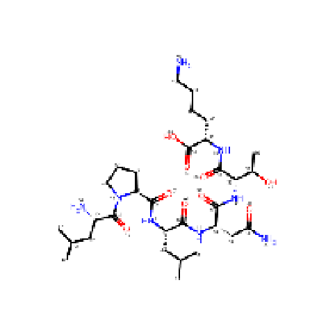 CC(C)C[C@H](NC(=O)[C@@H]1CCCN1C(=O)[C@@H](N)CC(C)C)C(=O)N[C@@H](CC(N)=O)C(=O)N[C@H](C(=O)N[C@@H](CCCCN)C(=O)O)C(C)O